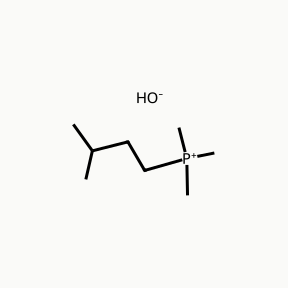 CC(C)CC[P+](C)(C)C.[OH-]